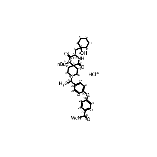 CCCCN1C(=O)[C@@H](CC2(O)CCCCC2)NC(=O)C12CCN(C(C)c1ccc(Oc3ccc(C(=O)NC)cc3)cc1)CC2.Cl